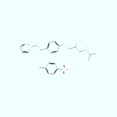 CC(C)NCC(O)COc1ccc(CCn2cccn2)cc1.Cc1ccc(S(=O)(=O)O)cc1